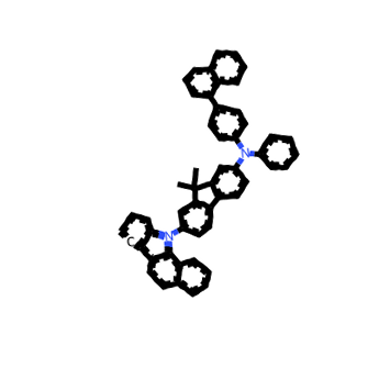 CC1(C)c2cc(N(c3ccccc3)c3ccc(-c4cccc5ccccc45)cc3)ccc2-c2ccc(-n3c4ccccc4c4ccc5ccccc5c43)cc21